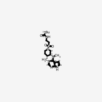 C[C@@H]1CCN(S(=O)(=O)CCNC(=O)C(C)(C)C)C[C@@H]1N(C)c1ncnc2[nH]ccc12